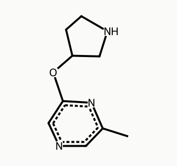 Cc1cncc(OC2CCNC2)n1